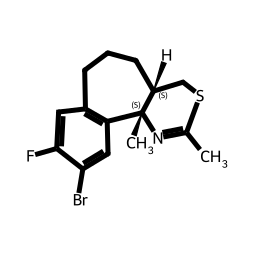 CC1=N[C@]2(C)c3cc(Br)c(F)cc3CCC[C@@H]2CS1